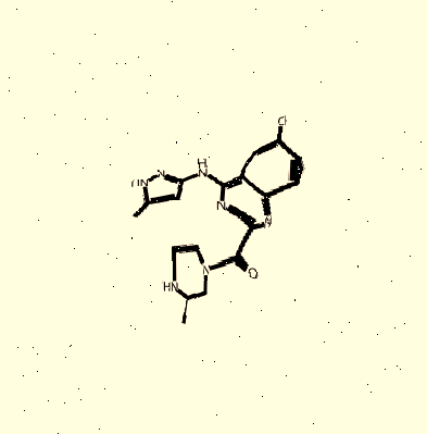 Cc1cc(Nc2nc(C(=O)N3CCN[C@H](C)C3)nc3ccc(Cl)cc23)n[nH]1